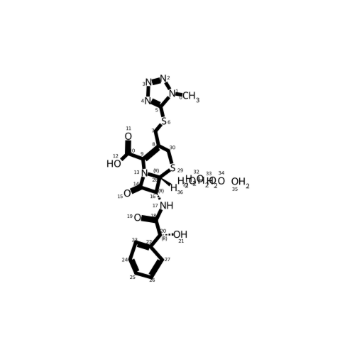 Cn1nnnc1SCC1=C(C(=O)O)N2C(=O)[C@@H](NC(=O)[C@H](O)c3ccccc3)[C@H]2SC1.O.O.O.O.O